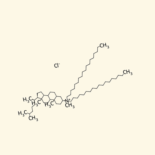 CCCCCCCCCCCCCCCCCC[N+](C)(CCCCCCCCCCCCCCCCCC)[C@H]1CC[C@@]2(C)C(CCC3C2CC[C@@]2(C)C3CC[C@@H]2[C@H](C)CCCC(C)C)C1.[Cl-]